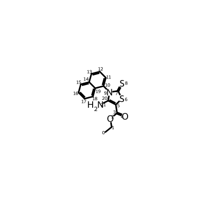 CCOC(=O)c1sc(=S)n(-c2cccc3ccccc23)c1N